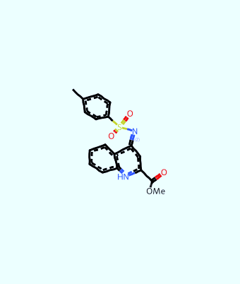 COC(=O)c1c/c(=N/S(=O)(=O)c2ccc(C)cc2)c2ccccc2[nH]1